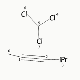 CC#CC(C)C.ClC(Cl)Cl